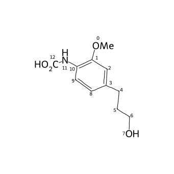 COc1cc(CCCO)ccc1NC(=O)O